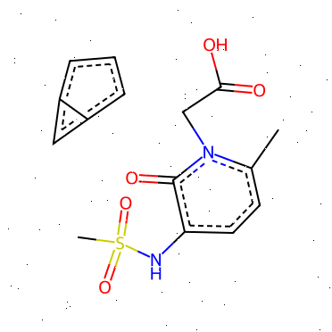 Cc1ccc(NS(C)(=O)=O)c(=O)n1CC(=O)O.c1cc2cc-2c1